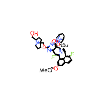 C#Cc1c(F)ccc2cc(OCOC)cc(-c3ncc4c(N5CC6CCC(C5)N6C(=O)OC(C)(C)C)nc(OCC56CCCN5C(CO)CC6)nc4c3F)c12